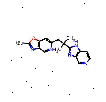 CC(C)(C)c1nc2cnc(CC(C)(C)c3nc4cnccc4[nH]3)cc2o1